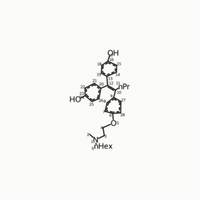 CCCCCCN(C)CCOc1ccc(C(CCC)=C(c2ccc(O)cc2)c2ccc(O)cc2)cc1